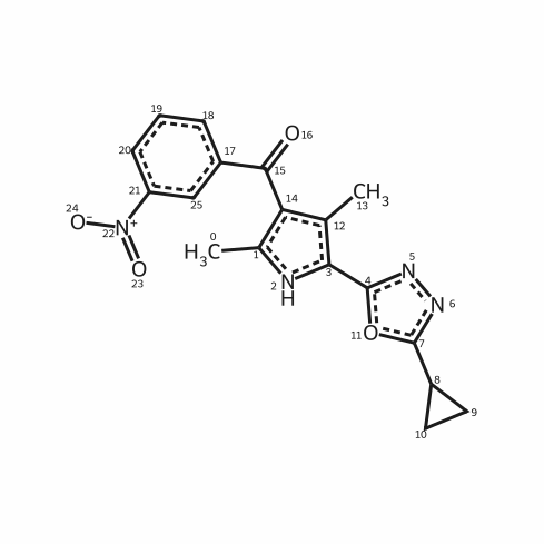 Cc1[nH]c(-c2nnc(C3CC3)o2)c(C)c1C(=O)c1cccc([N+](=O)[O-])c1